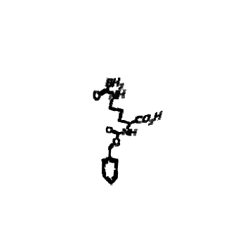 BC(=O)NCCC[C@H](NC(=O)OCc1ccccc1)C(=O)O